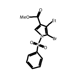 CCc1c(C(=O)OC)cn(S(=O)(=O)c2ccccc2)c1Br